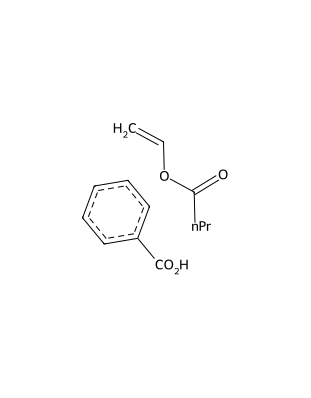 C=COC(=O)CCC.O=C(O)c1ccccc1